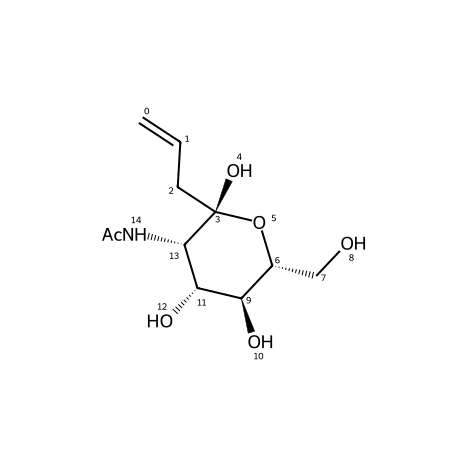 C=CC[C@]1(O)O[C@H](CO)[C@@H](O)[C@H](O)[C@@H]1NC(C)=O